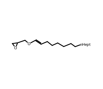 CCCCCCCCCCCCCC=COCC1CO1